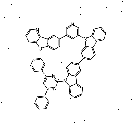 c1ccc(-c2cc(-c3ccccc3)nc(-n3c4ccccc4c4cc(-c5ccc6c7ccccc7n(-c7cncc(-c8ccc9oc%10cccnc%10c9c8)c7)c6c5)ccc43)n2)cc1